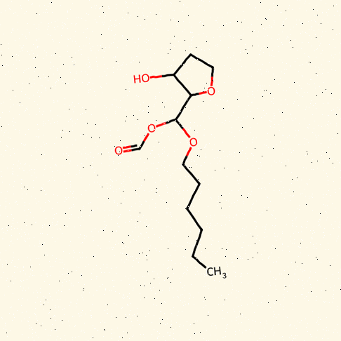 CCCCCCOC(OC=O)C1OCCC1O